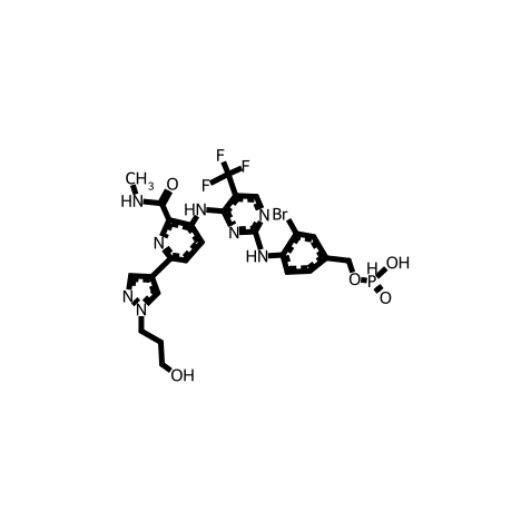 CNC(=O)c1nc(-c2cnn(CCCO)c2)ccc1Nc1nc(Nc2ccc(CO[PH](=O)O)cc2Br)ncc1C(F)(F)F